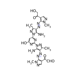 Cc1nn(-c2cc(O)nc(-n3nc(C)c(/N=N/c4c(C(=O)C=O)cnn4C)c3N)n2)c(N)c1/N=N/c1c(C(=O)CO)cnn1C